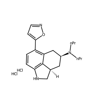 CCCN(CCC)[C@@H]1Cc2c(-c3ccno3)ccc3c2[C@H](CN3)C1.Cl.Cl